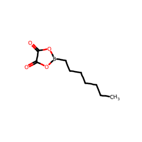 CCCCCCCB1OC(=O)C(=O)O1